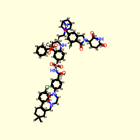 CC1(C)CCC(c2ccc(Cl)cc2)=C(CN2CCN(c3ccc(C(=O)NS(=O)(=O)c4ccc(N[C@H](CCN5CC6CC(C5)N6Cc5cc(F)c6c(c5)CN(C5CCC(=O)NC5=O)C6=O)CSc5ccccc5)c(S(=O)(=O)C(F)(F)F)c4)cc3)CC2)C1